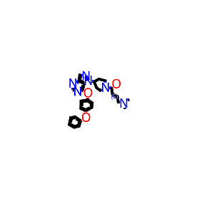 CN(C)C/C=C/C(=O)N1CCC(n2ncc3ncnc(Oc4ccc(Oc5ccccc5)cc4)c32)CC1